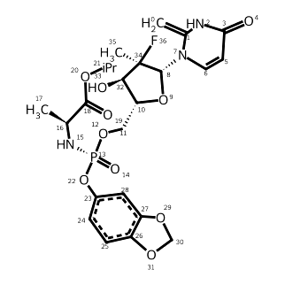 C=C1NC(=O)C=CN1[C@@H]1O[C@H](CO[P@](=O)(N[C@@H](C)C(=O)OC(C)C)Oc2ccc3c(c2)OCO3)[C@@H](O)[C@@]1(C)F